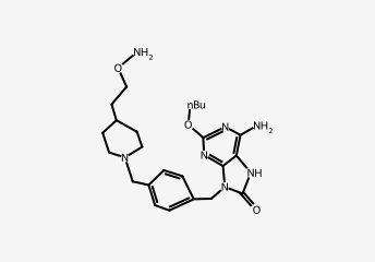 CCCCOc1nc(N)c2[nH]c(=O)n(Cc3ccc(CN4CCC(CCON)CC4)cc3)c2n1